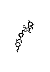 CCCC1CCn2nc(-c3ccc(CNC(=O)c4c(CC)nc5ncc(C)cn45)cc3)nc2C1